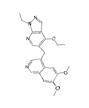 CCOc1c(Cc2cncc3cc(OC)c(OC)cc23)cnc2c1cnn2CC